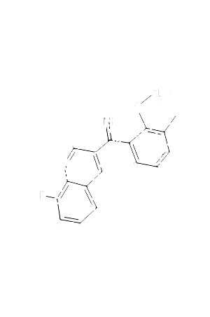 Cc1cccc(C(=N)c2cnc3c(F)cccc3c2)c1SC(C)(C)C